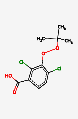 CC(C)(C)OOc1c(Cl)ccc(C(=O)O)c1Cl